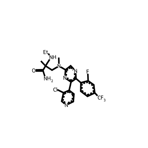 CCNC(C)(CN(C)c1cnc(-c2ccc(C(F)(F)F)cc2F)c(-c2ccncc2Cl)n1)C(N)=O